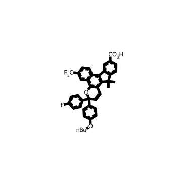 CCCCOc1ccc(C2(c3ccc(F)cc3)C=Cc3c4c(c5ccc(C(F)(F)F)cc5c3O2)-c2cc(C(=O)O)ccc2C4(C)C)cc1